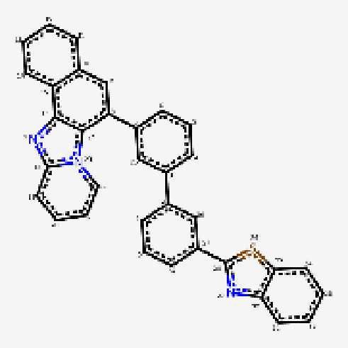 c1cc(-c2cccc(-c3cc4ccccc4c4nc5ccccn5c34)c2)cc(-c2nc3ccccc3s2)c1